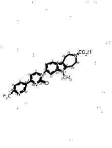 Cn1c2c(c3ccc(-n4ccc(-c5ccc(C(F)(F)F)nc5)nc4=O)cc31)CCN(C(=O)O)CC2